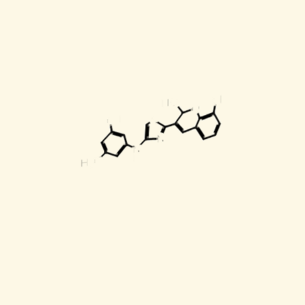 Cc1cc(C)cc(Nc2csc(C3=Cc4cccc(Cl)c4OC3O)n2)c1